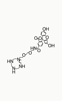 O=C(NCCOCCOCCN1CCNCCNCCNCC1)c1ccc2c(c1)C(=O)OC21c2ccc(O)cc2Oc2cc(O)ccc21